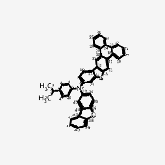 CC(C)c1ccc(N(c2ccc3c(c2)sc2cc4c5ccccc5c5ccccc5c4cc23)c2ccc3oc4ccccc4c3c2)cc1